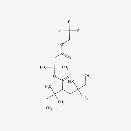 CCC(C)(C)CC(C(=O)OC(C)(C)CC(=O)OCC(F)(F)F)C(C)(C)CC